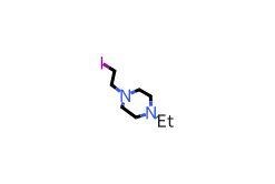 CCN1CCN(CCI)CC1